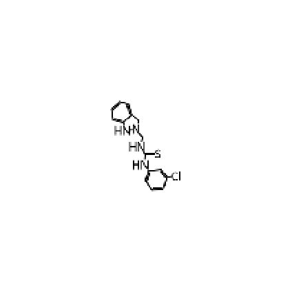 S=C(NCN1Cc2ccccc2N1)Nc1cccc(Cl)c1